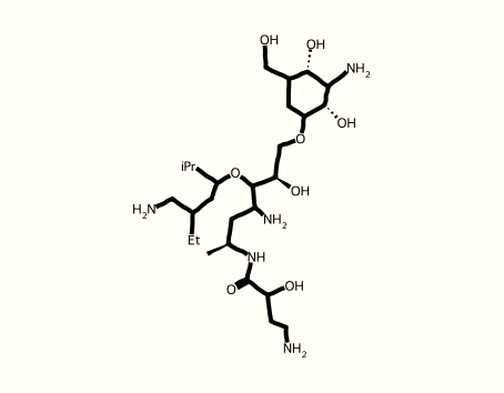 CCC(CN)CC(OC(C(N)C[C@H](C)NC(=O)C(O)CCN)[C@H](O)COC1CC(CO)[C@H](O)C(N)[C@@H]1O)C(C)C